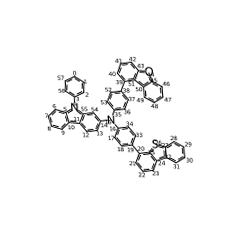 c1ccc(-n2c3ccccc3c3ccc(N(c4ccc(-c5cccc6c5sc5ccccc56)cc4)c4ccc(-c5cccc6oc7ccccc7c56)cc4)cc32)cc1